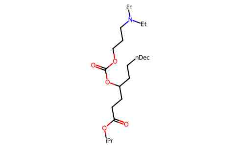 [CH2]C([CH2])OC(=O)CCC(CCCCCCCCCCCC)OC(=O)OCCCN(CC)CC